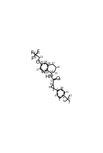 CC(C)(C)c1ccc(C2CC2C(=O)NC2CCCc3cc(OCC(F)(F)F)cnc32)cc1